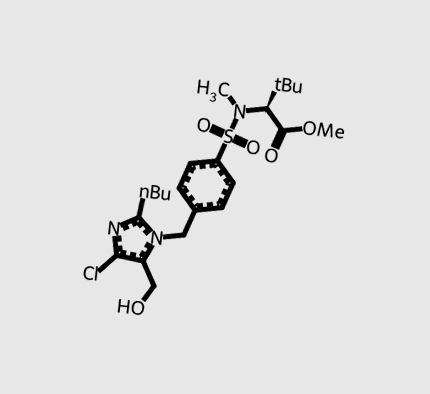 CCCCc1nc(Cl)c(CO)n1Cc1ccc(S(=O)(=O)N(C)[C@H](C(=O)OC)C(C)(C)C)cc1